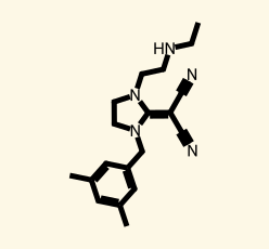 CCNCCN1CCN(Cc2cc(C)cc(C)c2)C1=C(C#N)C#N